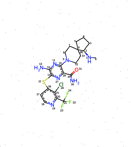 CN[C@@H]1CCCC12CCN(c1nc(N)c(Sc3ccnc(C(F)(F)F)c3Cl)nc1C(N)=O)CC2